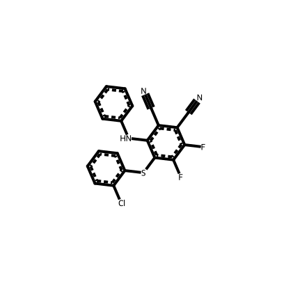 N#Cc1c(F)c(F)c(Sc2ccccc2Cl)c(Nc2ccccc2)c1C#N